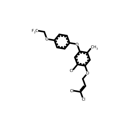 Cc1cc(OCC=C(Cl)Cl)c(Cl)cc1Oc1ccc(OCC(F)(F)F)cc1